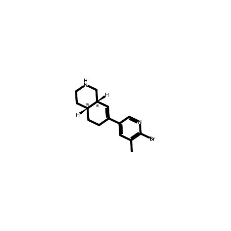 Cc1cc(C2=C[C@H]3CNCC[C@H]3CC2)cnc1Br